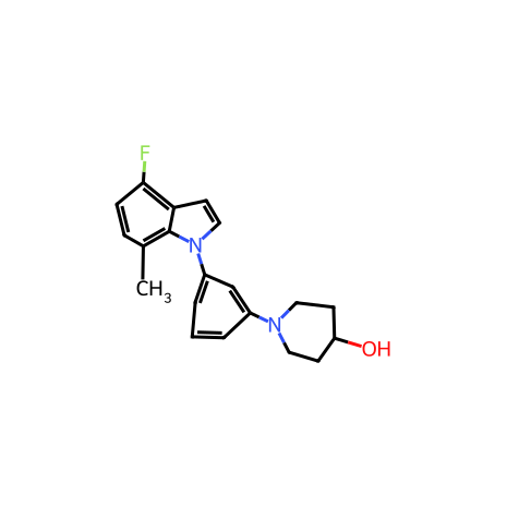 Cc1ccc(F)c2ccn(-c3cccc(N4CCC(O)CC4)c3)c12